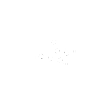 Cc1cc(Cc2cc(Cc3cc(Cc4ccc(O)c(C)c4)c(O)c(Cc4ccc(O)c(C)c4)c3)cc(Cc3ccc(O)c(C)c3)c2O)ccc1O